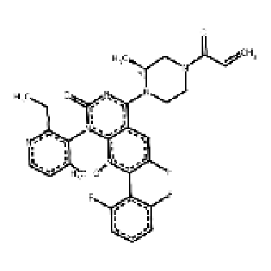 C=CC(=O)N1CCN(c2nc(=O)n(-c3c(C)ccnc3CC)c3c2cc(F)c(-c2c(F)cccc2F)[n+]3[O-])[C@@H](C)C1